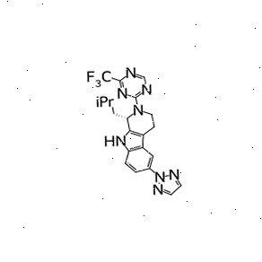 CC(C)C[C@H]1c2[nH]c3ccc(-n4nccn4)cc3c2CCN1c1ncnc(C(F)(F)F)n1